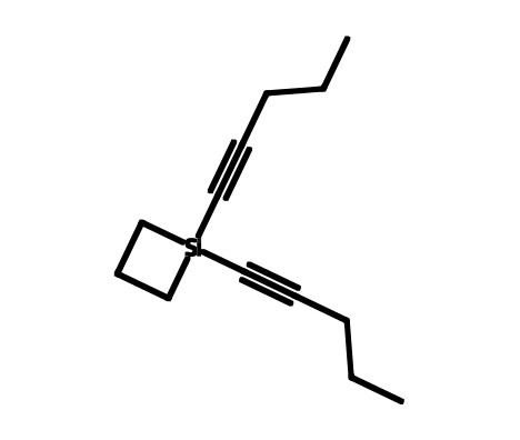 CCCC#C[Si]1(C#CCCC)CCC1